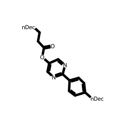 CCCCCCCCCCCCC(=O)Oc1cnc(-c2ccc(CCCCCCCCCC)cc2)nc1